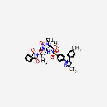 Cc1ccc(-c2cc(C(F)(F)F)nn2-c2ccc(S(=O)(=O)NC(=O)C(C)(C)N(C)/[N+]([O-])=N/OC(C)N3C(=O)c4ccccc4C3=O)cc2)cc1